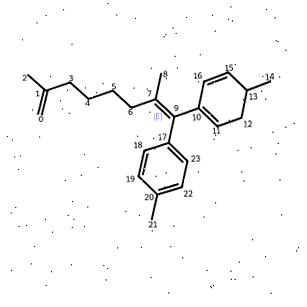 C=C(C)CCCC/C(C)=C(/C1=CCC(C)C=C1)c1ccc(C)cc1